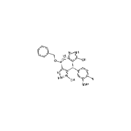 CNc1cc(C(c2c(C)n[nH]c2O)c2c(C(=O)OCc3ccccc3)n[nH]c2O)ccc1I